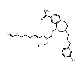 CC[C@@H](C/C=C/CCCSC=O)CCN1CC(CCCc2cccc(Cl)c2)COc2ccc(C(N)=O)cc21